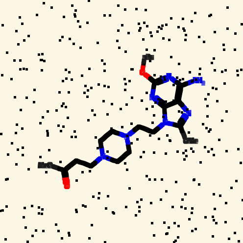 CCCCOc1nc(N)c2nc(OC)n(CCN3CCN(CCC(=O)OC)CC3)c2n1